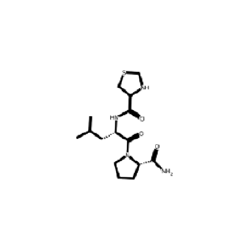 CC(C)C[C@H](NC(=O)C1CSCN1)C(=O)N1CCC[C@H]1C(N)=O